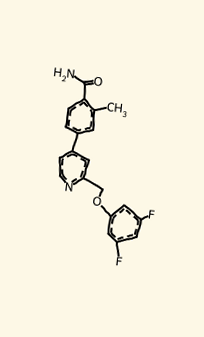 Cc1cc(-c2ccnc(COc3cc(F)cc(F)c3)c2)ccc1C(N)=O